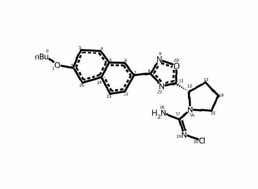 CCCCOc1ccc2cc(-c3noc([C@@H]4CCCN4/C(N)=N\Cl)n3)ccc2c1